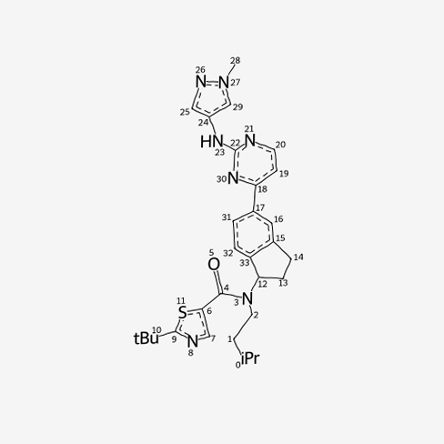 CC(C)CCN(C(=O)c1cnc(C(C)(C)C)s1)C1CCc2cc(-c3ccnc(Nc4cnn(C)c4)n3)ccc21